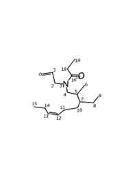 C=CCN(CC(C)C(CC)CC/C=C\CC)C(=O)CC